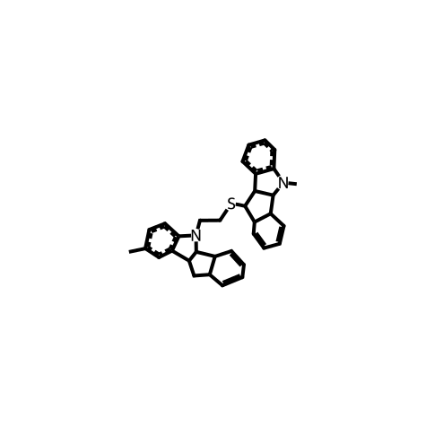 Cc1ccc2c(c1)C1CC3C=CC=CC3C1N2CCSC1C2C=CC=CC2C2C1c1ccccc1N2C